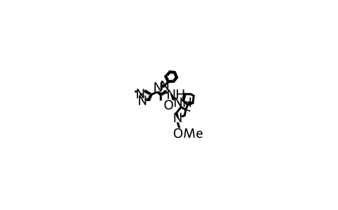 COCCN1C[C@@H](NC(=O)Nc2c(C)c(-c3cnn(C)c3)nn2-c2ccccc2)[C@](C)(C2=CCCC=C2)C1